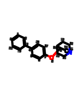 c1ccc(-c2ccc(OC3CN4CCC3CC4)cc2)cc1